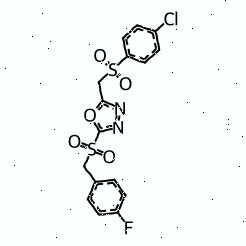 O=S(=O)(Cc1nnc(S(=O)(=O)Cc2ccc(F)cc2)o1)c1ccc(Cl)cc1